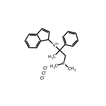 CP(C)C[C](C)([V+3][CH]1C=Cc2ccccc21)c1ccccc1.[Cl-].[Cl-].[Cl-]